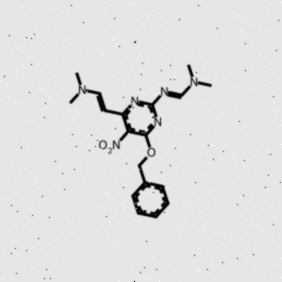 CN(C)C=Cc1nc(N=CN(C)C)nc(OCc2ccccc2)c1[N+](=O)[O-]